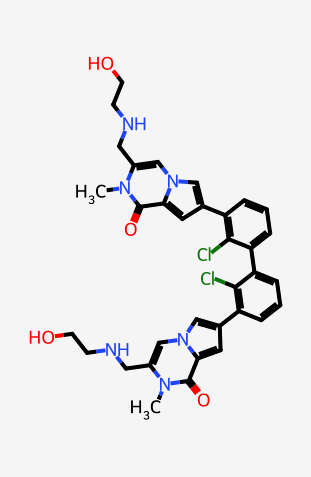 Cn1c(CNCCO)cn2cc(-c3cccc(-c4cccc(-c5cc6c(=O)n(C)c(CNCCO)cn6c5)c4Cl)c3Cl)cc2c1=O